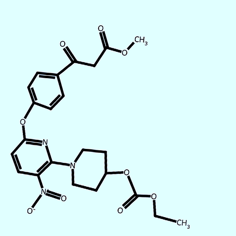 CCOC(=O)OC1CCN(c2nc(Oc3ccc(C(=O)CC(=O)OC)cc3)ccc2[N+](=O)[O-])CC1